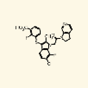 Cc1c(Sc2cccc(C(=O)O)c2F)c2ccc(Cl)c(F)c2n1CC(=O)N1CCc2ccncc21